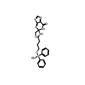 CC(C)(C)[Si](OCCCCNC1(CO)N=C2N=CN=C2C(=O)N1)(c1ccccc1)c1ccccc1